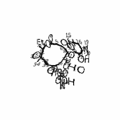 CCC1OC(=O)C[C@@H](O)[C@H](C)[C@@H](O[C@@H]2O[C@H](C)C[C@H](N(C)C)[C@H]2O)[C@@H](CC=O)C[C@@H](C)C(=O)/C=C/[C@]2(C)OC2C1C.O=P([O-])(O)O.[K+]